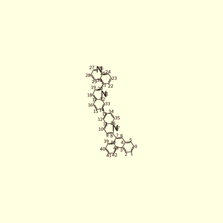 c1ccc2c(c1)cc(-c1ccc3cc(-c4ccc5ccc(-c6cccc7ncccc67)nc5c4)ccc3n1)c1ccccc12